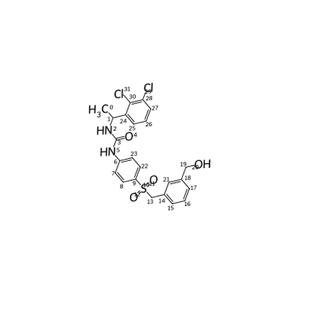 CC(NC(=O)Nc1ccc(S(=O)(=O)Cc2cccc(CO)c2)cc1)c1cccc(Cl)c1Cl